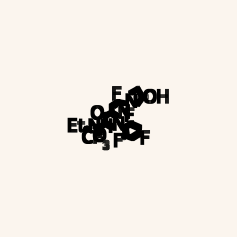 CCC(NC(=O)c1cn(-c2c(F)cc(F)cc2F)c2nc(N3CC[C@@H](O)C3)c(F)cc2c1=O)C(F)(F)F